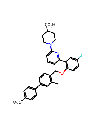 COc1ccc(-c2ccc(COc3ccc(F)cc3-c3cccc(N4CCC(C(=O)O)CC4)n3)c(C)c2)cc1